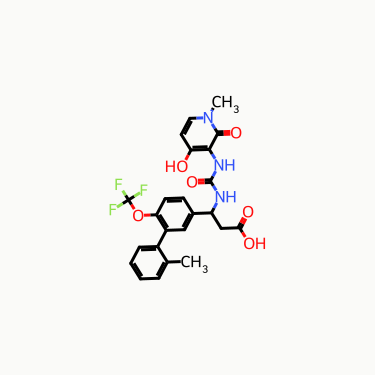 Cc1ccccc1-c1cc(C(CC(=O)O)NC(=O)Nc2c(O)ccn(C)c2=O)ccc1OC(F)(F)F